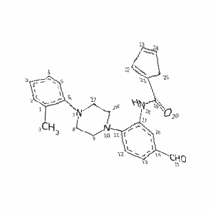 Cc1ccccc1N1CCN(c2ccc(C=O)cc2NC(=O)C2=CC=CC2)CC1